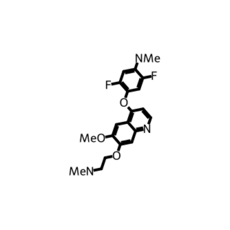 CNCCOc1cc2nccc(Oc3cc(F)c(NC)cc3F)c2cc1OC